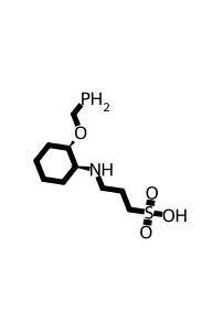 O=S(=O)(O)CCCN[C@H]1CCCC[C@@H]1OCP